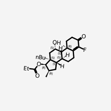 CCCC[C@]12C[C@H](O)[C@H]3[C@@H](CCC4=C(F)C(=O)CC[C@@]43C)[C@@H]1C[C@@H](C)[C@H]2OC(=O)CC